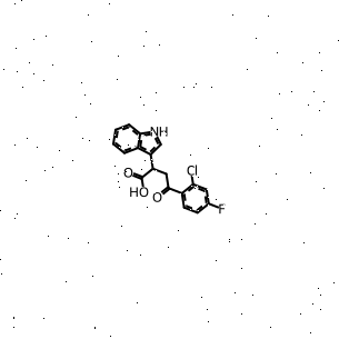 O=C(CC(C(=O)O)c1c[nH]c2ccccc12)c1ccc(F)cc1Cl